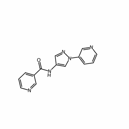 O=C(Nc1cnn(-c2cccnc2)c1)c1cccnc1